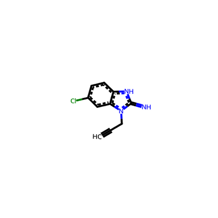 C#CCn1c(=N)[nH]c2ccc(Cl)cc21